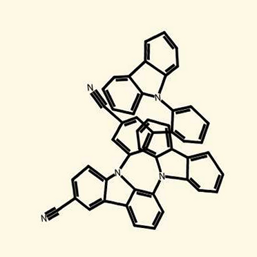 N#Cc1cc(-c2ccccc2-n2c3ccccc3c3ccccc32)cc(-n2c3ccc(C#N)cc3c3cccc(-n4c5ccccc5c5ccccc54)c32)c1